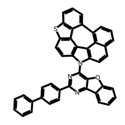 c1ccc(-c2ccc(-c3nc(-n4c5ccc6cccc7c6c5c5c6c(ccc54)sc4cccc-7c46)c4oc5ccccc5c4n3)cc2)cc1